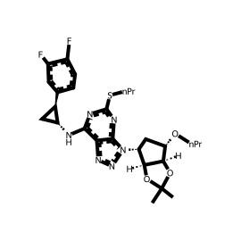 CCCO[C@H]1C[C@@H](n2nnc3c(N[C@@H]4C[C@H]4c4ccc(F)c(F)c4)nc(SCCC)nc32)[C@@H]2OC(C)(C)O[C@@H]21